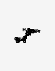 CC(C)c1ccc(N(C)c2ccc(C3CN(C(=O)CC[C@@H]4COC(=O)N4)C3)cn2)cc1